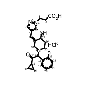 Cl.O=C(O)CCn1ncc(C=C2CN(C(C(=O)C3CC3)c3ccccc3F)CCC2S)n1